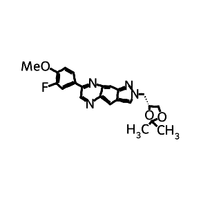 COc1ccc(-c2cnc3cc4cn(C[C@@H]5COC(C)(C)O5)nc4cc3n2)cc1F